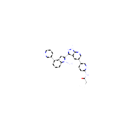 CCC(=O)Nc1ccc(-c2cnc3[nH]nc(-c4cc5c(-c6cccnc6)cccc5n4N)c3c2)cn1